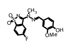 COc1cc(C=NN(C)C2=NS(=O)(=O)c3ccc(F)cc32)ccc1O